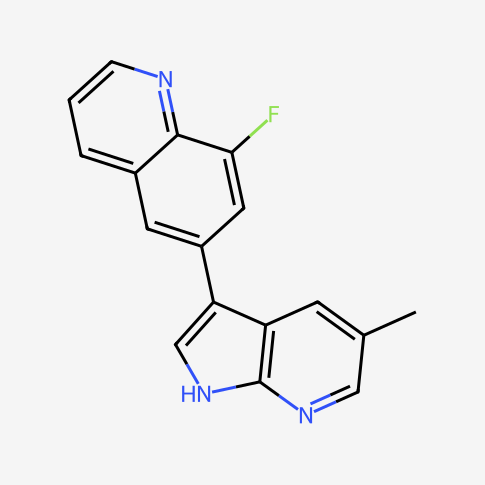 Cc1cnc2[nH]cc(-c3cc(F)c4ncccc4c3)c2c1